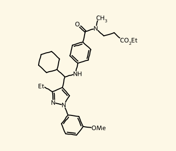 CCOC(=O)CCN(C)C(=O)c1ccc(NC(c2cn(-c3cccc(OC)c3)nc2CC)C2CCCCC2)cc1